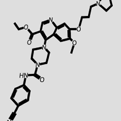 CCOC(=O)c1cnc2cc(OCCCN3CCCC3)c(OC)cc2c1N1CCN(C(=O)Nc2ccc(C#N)cc2)CC1